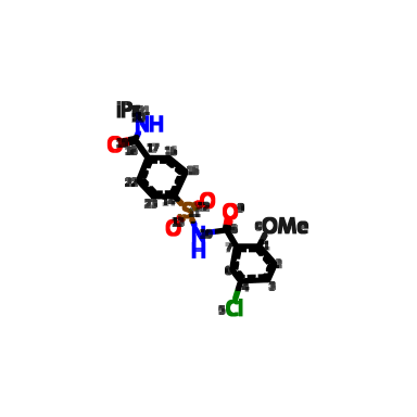 COc1ccc(Cl)cc1C(=O)NS(=O)(=O)c1ccc(C(=O)NC(C)C)cc1